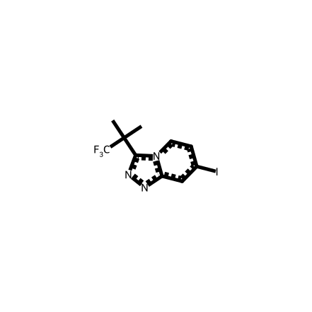 CC(C)(c1nnc2cc(I)ccn12)C(F)(F)F